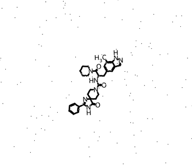 Cc1cc(CC(NC(=O)N2CCC3(CC2)N=C(c2ccccc2)NC3=O)C(=O)N2CCCCC2)cc2cn[nH]c12